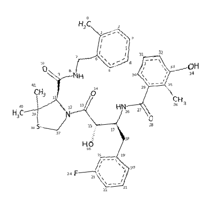 Cc1ccccc1CNC(=O)[C@H]1N(C(=O)[C@@H](O)[C@H](Cc2cccc(F)c2)NC(=O)c2cccc(O)c2C)CSC1(C)C